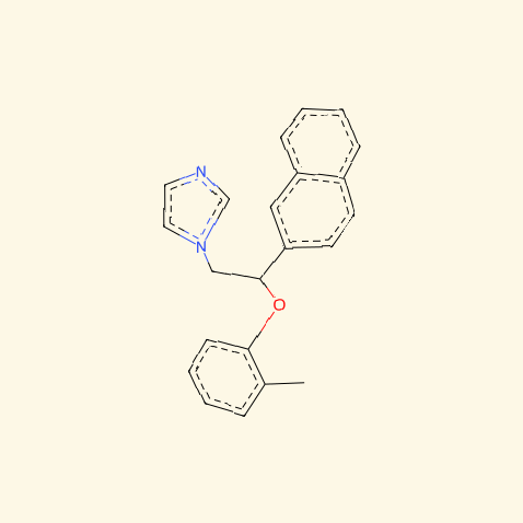 Cc1ccccc1OC(Cn1ccnc1)c1ccc2ccccc2c1